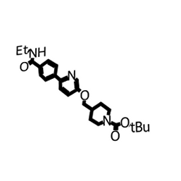 CCNC(=O)c1ccc(-c2ccc(OCC3CCN(C(=O)OC(C)(C)C)CC3)cn2)cc1